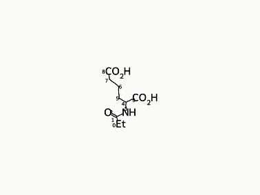 [CH2]CC(=O)NC(CCCC(=O)O)C(=O)O